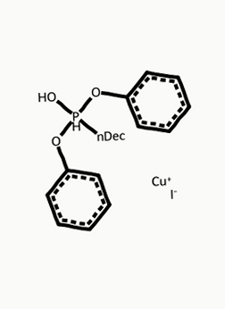 CCCCCCCCCC[PH](O)(Oc1ccccc1)Oc1ccccc1.[Cu+].[I-]